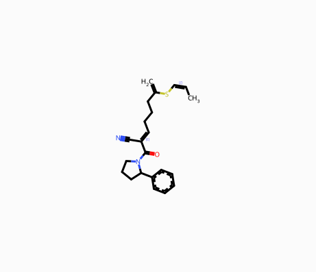 C=C(CCC/C=C(\C#N)C(=O)N1CCCC1c1ccccc1)S/C=C\C